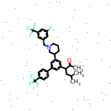 CC(=O)C(CC(C)C)c1cc(-c2ccc(C(F)(F)F)cc2)cc(C2CCCN(Cc3cc(F)cc(C(F)(F)F)c3)C2)c1